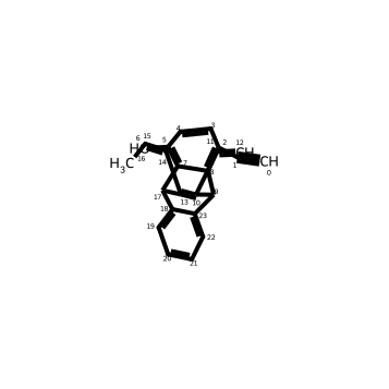 C#Cc1ccc(O)c2c1C1C(C=C)=C(/C=C\C)C2c2ccccc21